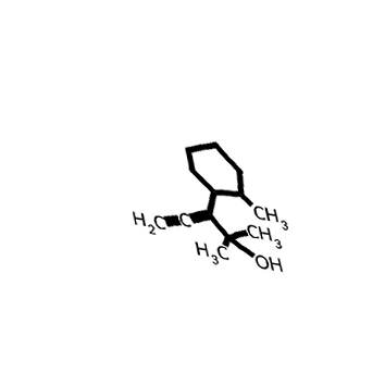 C=C=C(C1CCCCC1C)C(C)(C)O